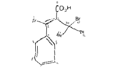 O=C(O)C(=C(Br)c1ccccc1)C(Br)(Br)Br